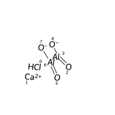 Cl.[Ca+2].[O]=[Al][O-].[O]=[Al][O-]